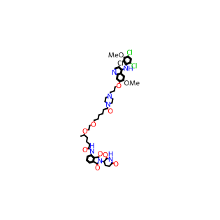 COc1cc(Nc2c(C#N)cnc3cc(OCCCN4CCN(C(=O)CCCCCOCCOC(C)CCCC(=O)Nc5cccc6c5C(=O)N(C5CCC(=O)NC5=O)C6=O)CC4)c(OC)cc23)c(Cl)cc1Cl